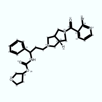 O=C(NC(CCN1CC2CN(C(=O)c3cccnc3Br)C[C@@H]2C1)c1ccccc1)OC1CCOC1